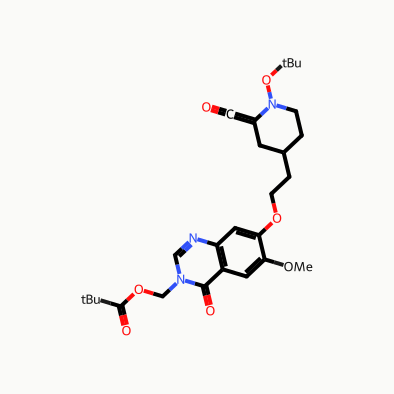 COc1cc2c(=O)n(COC(=O)C(C)(C)C)cnc2cc1OCCC1CCN(OC(C)(C)C)C(=C=O)C1